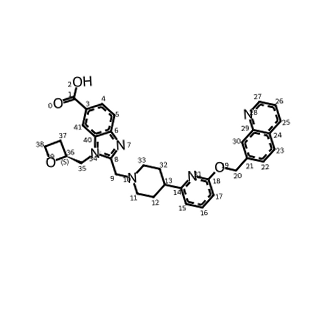 O=C(O)c1ccc2nc(CN3CCC(c4cccc(OCc5ccc6cccnc6c5)n4)CC3)n(C[C@@H]3CCO3)c2c1